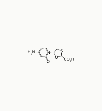 Nc1ccn(C2CSC(C(=O)O)O2)c(=O)c1